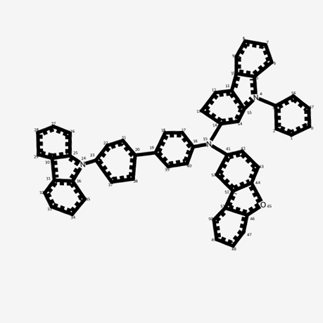 c1ccc(-n2c3ccccc3c3ccc(N(c4ccc(-c5ccc(-n6c7ccccc7c7ccccc76)cc5)cc4)c4ccc5oc6ccccc6c5c4)cc32)cc1